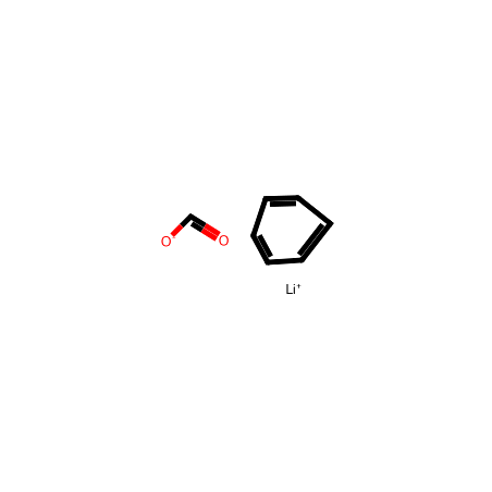 O=C[O-].[Li+].c1ccccc1